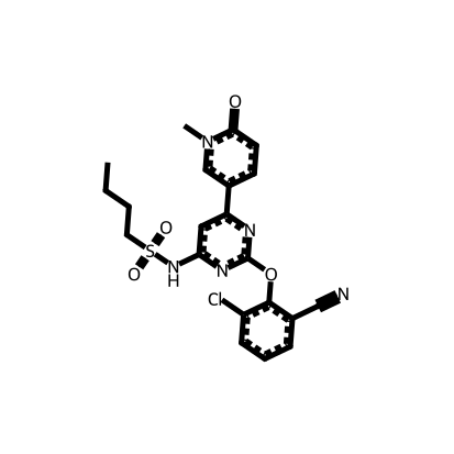 CCCCS(=O)(=O)Nc1cc(-c2ccc(=O)n(C)c2)nc(Oc2c(Cl)cccc2C#N)n1